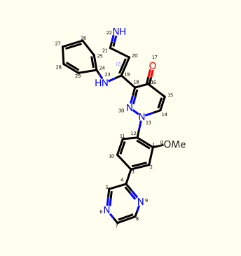 COc1cc(-c2cnccn2)ccc1-n1ccc(=O)c(/C(=C/C=N)Nc2ccccc2)n1